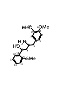 COc1ccc(CC(N)CC(O)c2ccccc2SC)cc1OC